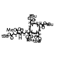 COC(=O)[C@H](CCC(=O)OC(C)(C)C)NC(=O)CC[C@H](C(=O)OC(C)(C)C)N1CCN(CC(=O)OC(C)(C)C)CCN(CC(=O)OC(C)(C)C)CCN(CC(=O)OC(C)(C)C)CC1